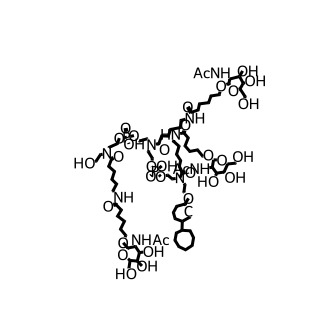 CC(=O)NC1C(OCCCCCC(=O)NCCCCCC(=O)N(CCO)CCOP(=O)(O)OCCN(CCOP(=O)(O)OCCN(CCOC2CCCC(C3CCCCCCC3)CC2)C(=O)CCCCCNC(=O)CCCCCOC2OC(CO)C(O)C(O)C2NC(C)=O)C(=O)CCCCCNC(=O)CCCCCOC2OC(CO)C(O)C(O)C2NC(C)=O)OC(CO)C(O)C1O